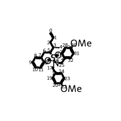 C=CC[C@@H](C)C(Cc1ccccc1)S(=O)(=O)N(Cc1ccc(OC)cc1)Cc1ccc(OC)cc1